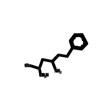 CC(C)(C)N(CC(N)CCc1ccccc1)C(=O)O